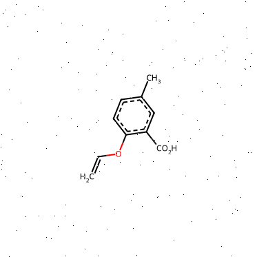 C=COc1ccc(C)cc1C(=O)O